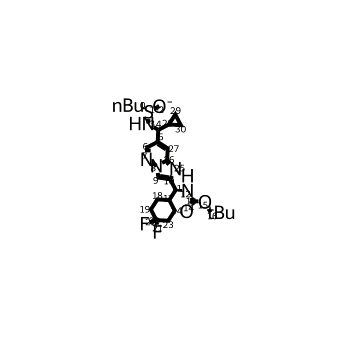 CCCC[S@+]([O-])NC(c1cnn2cc([C@@H](NC(=O)OC(C)(C)C)C3CCC(F)(F)CC3)nc2c1)C1CC1